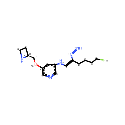 N=N/C(=C\Nc1cncc(OC[C@@H]2CCN2)c1)CCCCF